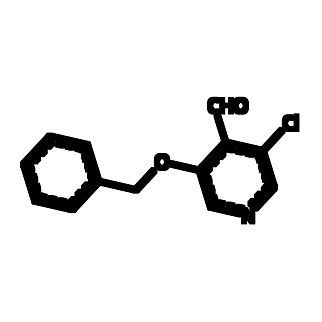 O=Cc1c(Cl)cncc1OCc1ccccc1